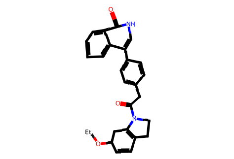 CCOC1C=CC2=C(C1)N(C(=O)Cc1ccc(-c3c[nH]c(=O)c4ccccc34)cc1)CC2